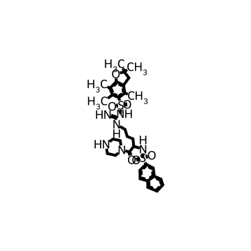 Cc1c(C)c(S(=O)(=O)NC(=N)NCCCC(NS(=O)(=O)c2ccc3ccccc3c2)C(=O)N2CCNCC2)c(C)c2c1OC(C)(C)C2